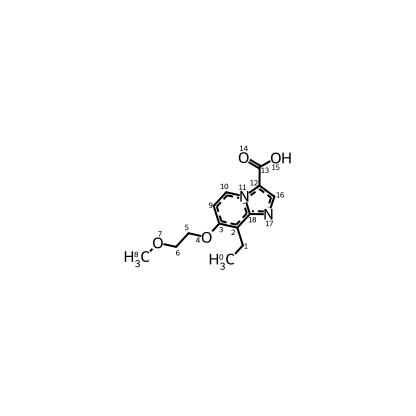 CCc1c(OCCOC)ccn2c(C(=O)O)cnc12